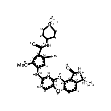 COc1cc(C(=O)NC2CCN(C)CC2)c(F)cc1Nc1ncc(Cl)c(Oc2cccc3c2C(=O)N[C@H]3C)n1